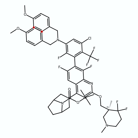 COc1ccc(CN(Cc2ccc(OC)cc2)c2cc(Cl)c(C(F)(F)F)c(-c3c(F)cc4c(N5CC6CCC(C5)N6C(=O)OC(C)(C)C)nc(OC[C@]5(C)CN(C)CCC5(F)F)nc4c3F)c2F)cc1